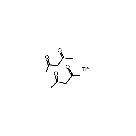 CC(=O)CC(C)=O.CC(=O)CC(C)=O.[Ti+4]